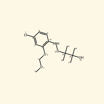 COCOc1cc(Cl)ccc1BOC(C)(C)C(C)(C)O